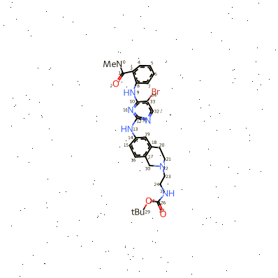 CNC(=O)c1ccccc1Nc1nc(Nc2ccc3c(c2)CCN(CCNC(=O)OC(C)(C)C)C3)ncc1Br